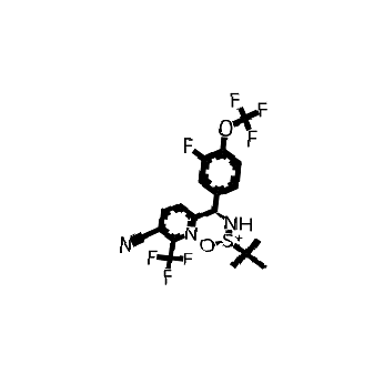 CC(C)(C)[S@@+]([O-])N[C@H](c1ccc(OC(F)(F)F)c(F)c1)c1ccc(C#N)c(C(F)(F)F)n1